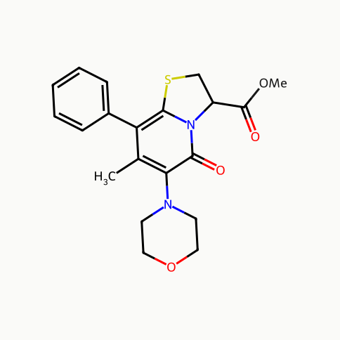 COC(=O)C1CSc2c(-c3ccccc3)c(C)c(N3CCOCC3)c(=O)n21